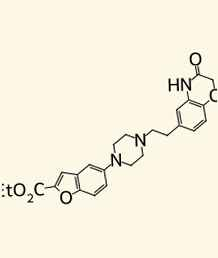 CCOC(=O)c1cc2cc(N3CCN(CCc4ccc5c(c4)NC(=O)CO5)CC3)ccc2o1